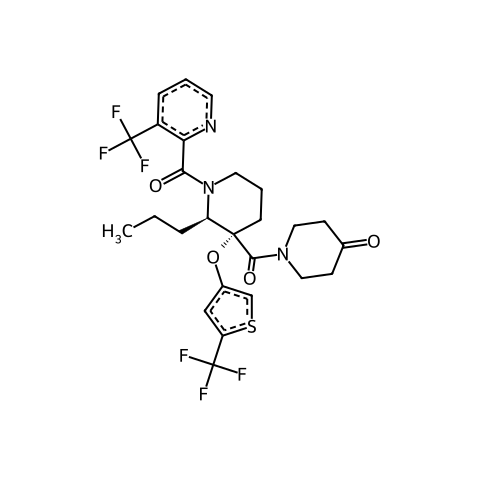 CCC[C@H]1N(C(=O)c2ncccc2C(F)(F)F)CCC[C@@]1(Oc1csc(C(F)(F)F)c1)C(=O)N1CCC(=O)CC1